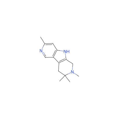 Cc1cc2[nH]c3c(c2cn1)CC(C)(C)N(C)C3